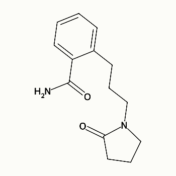 NC(=O)c1ccccc1CCCN1CCCC1=O